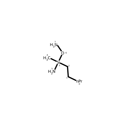 CCCCC[Si](C)(N)O[SiH3]